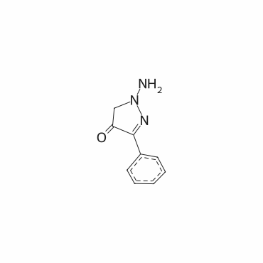 NN1CC(=O)C(c2ccccc2)=N1